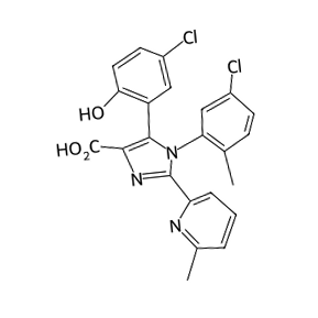 Cc1cccc(-c2nc(C(=O)O)c(-c3cc(Cl)ccc3O)n2-c2cc(Cl)ccc2C)n1